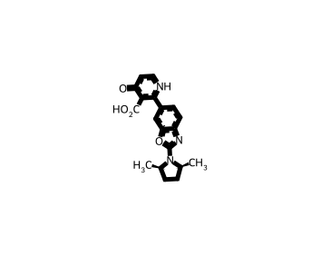 C[C@@H]1CC[C@H](C)N1c1nc2ccc(-c3[nH]ccc(=O)c3C(=O)O)cc2o1